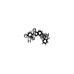 Cc1ccccc1S(=O)(=O)Nc1ccc2c(c1)CN(C1CCC(=O)NC1=O)C2=O